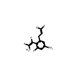 FC(F)=CCc1cc(P)cc(F)c1/C(F)=C(/F)P